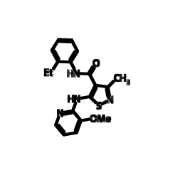 CCc1ccccc1NC(=O)c1c(C)nsc1Nc1ncccc1OC